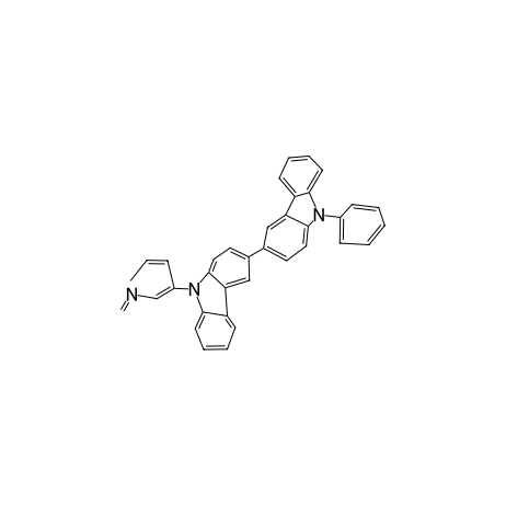 C=N/C=C(\C=C/C)n1c2ccccc2c2cc(-c3ccc4c(c3)c3ccccc3n4-c3ccccc3)ccc21